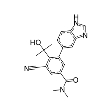 CN(C)C(=O)c1cc(C#N)c(C(C)(C)O)c(-c2ccc3[nH]cnc3c2)c1